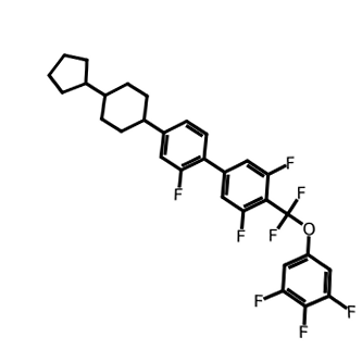 Fc1cc(C2CCC(C3CCCC3)CC2)ccc1-c1cc(F)c(C(F)(F)Oc2cc(F)c(F)c(F)c2)c(F)c1